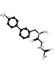 CN(Cc1cccc(-c2ccc(N)cc2)c1)C(=O)CNC(=O)O